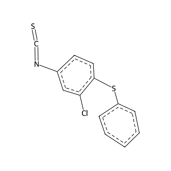 S=C=Nc1ccc(Sc2ccccc2)c(Cl)c1